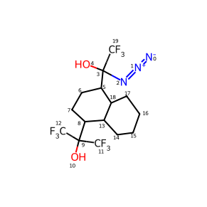 [N-]=[N+]=NC(O)(C1CCC(C(O)(C(F)(F)F)C(F)(F)F)C2CCCCC21)C(F)(F)F